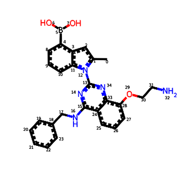 Cc1cc2c(B(O)O)cccc2n1-c1nc(NCc2ccccc2)c2cccc(OCCN)c2n1